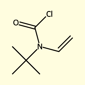 C=CN(C(=O)Cl)C(C)(C)C